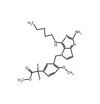 CCCCCNc1nc(N)nc2ccn(Cc3cc(C(F)(F)C(=O)OC)ccc3OC)c12